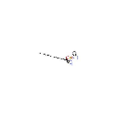 CCCCCCCCCCCCCCC[C@@H](O)[C@H](C)NC(=S)Nc1ccccc1